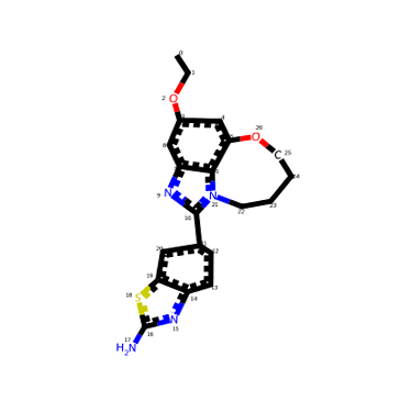 CCOc1cc2c3c(c1)nc(-c1ccc4nc(N)sc4c1)n3CCCCO2